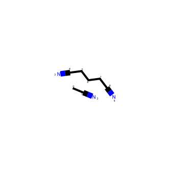 CC#N.N#CCCCC#N